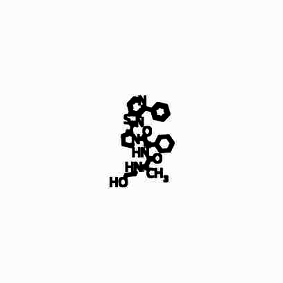 C[C@@H](NCCO)C(=O)N[C@H](C(=O)N1CCC[C@H]1c1nc2c(-c3ccccc3)nccc2s1)C1CCCCC1